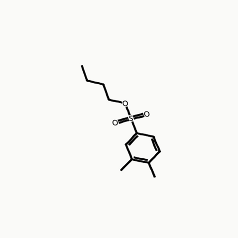 CCCCOS(=O)(=O)c1ccc(C)c(C)c1